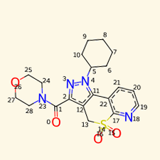 O=C(c1nn(C2CCCCC2)c2c1CS(=O)(=O)c1ncccc1-2)N1CCOCC1